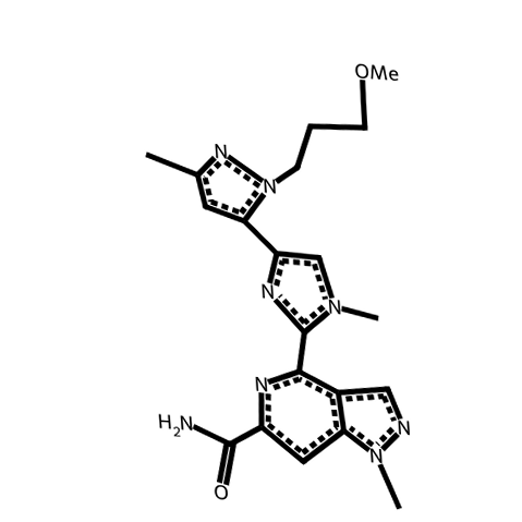 COCCCn1nc(C)cc1-c1cn(C)c(-c2nc(C(N)=O)cc3c2cnn3C)n1